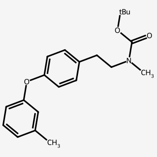 Cc1cccc(Oc2ccc(CCN(C)C(=O)OC(C)(C)C)cc2)c1